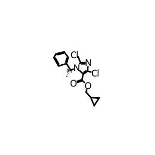 C[C@H](c1ccccc1)n1c(Cl)nc(Cl)c1C(=O)OCC1CC1